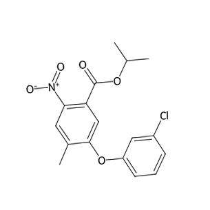 Cc1cc([N+](=O)[O-])c(C(=O)OC(C)C)cc1Oc1cccc(Cl)c1